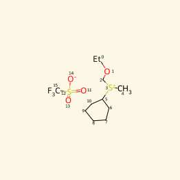 CCOC[S+](C)C1CCCCC1.O=S(=O)([O-])C(F)(F)F